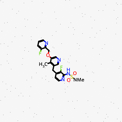 CNS(=O)(=O)Nc1nccc(Cc2cncc(OCc3ncccc3F)c2C)c1F